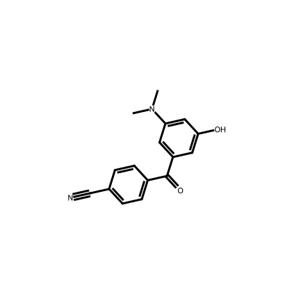 CN(C)c1cc(O)cc(C(=O)c2ccc(C#N)cc2)c1